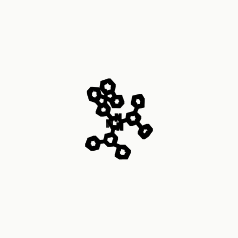 C1=C(c2ccccc2)CC(c2ccccc2)C=C1c1nc(-c2cc(-c3ccccc3)cc(-c3ccccc3)c2)nc(-c2ccc3c(c2)C2(c4ccccc4-c4ccccc42)c2ccccc2-3)n1